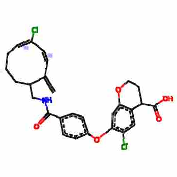 C=C1/C=C\C(Cl)=C/CCCC1CNC(=O)c1ccc(Oc2cc3c(cc2Cl)C(C(=O)O)CCO3)cc1